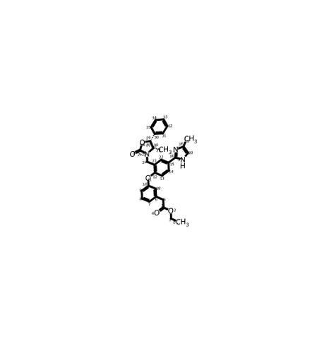 CCOC(=O)Cc1cccc(Oc2ccc(-c3nc(C)c[nH]3)cc2CN2C(=O)O[C@H](c3ccccc3)[C@@H]2C)c1